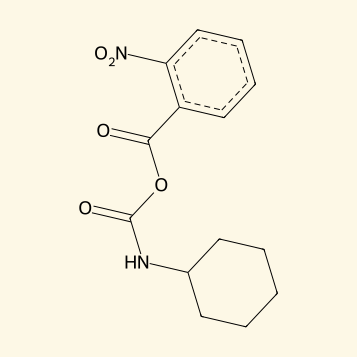 O=C(NC1CCCCC1)OC(=O)c1ccccc1[N+](=O)[O-]